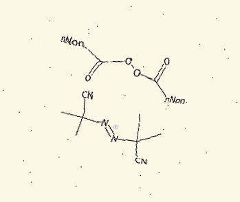 CC(C)(C#N)/N=N/C(C)(C)C#N.CCCCCCCCCC(=O)OOC(=O)CCCCCCCCC